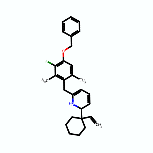 C=CC1([C@@H]2C=CC=C(Cc3c(C)cc(OCc4ccccc4)c(F)c3C)N2)CCCCC1